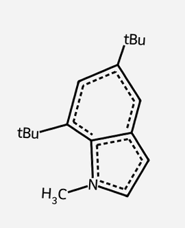 Cn1ccc2cc(C(C)(C)C)cc(C(C)(C)C)c21